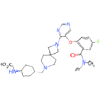 CC(C)N(C)C(=O)c1cc(F)ccc1Oc1cncnc1N1CC2(CCN(C[C@H]3CC[C@H](NC(=O)O)CC3)CC2)C1